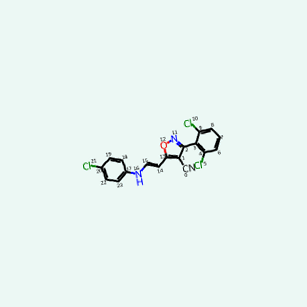 N#Cc1c(-c2c(Cl)cccc2Cl)noc1C=CNc1ccc(Cl)cc1